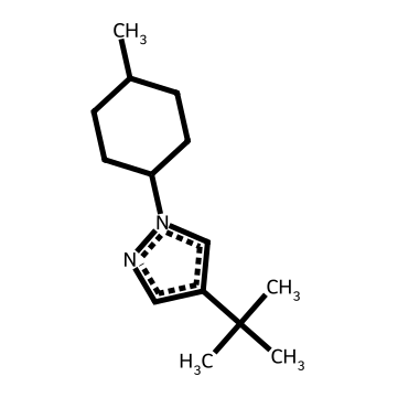 CC1CCC(n2cc(C(C)(C)C)cn2)CC1